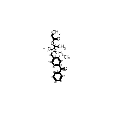 C=CC(=O)OC(C)[N+](C)(C)Cc1ccc(C(=O)c2ccccc2)cc1.[Cl-]